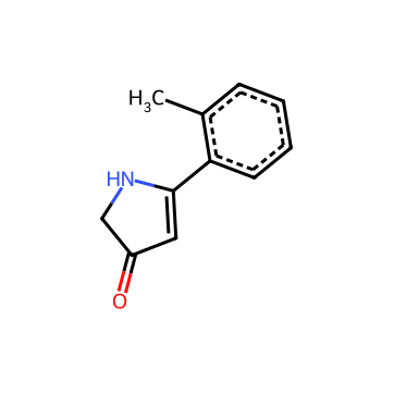 Cc1ccccc1C1=CC(=O)CN1